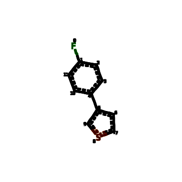 Fc1ccc(-c2c[c]sc2)cc1